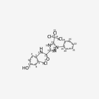 O=C(Nc1ccc(O)cc1Cl)c1nc(C(Cl)(Cl)Cl)n(-c2ccccc2)n1